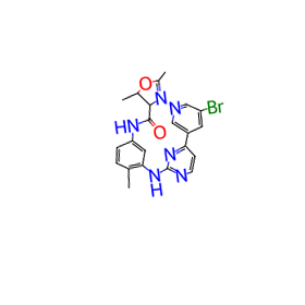 CC1=NC(C(=O)Nc2ccc(C)c(Nc3nccc(-c4cncc(Br)c4)n3)c2)C(C)O1